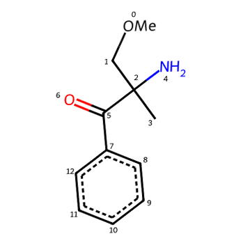 COCC(C)(N)C(=O)c1ccccc1